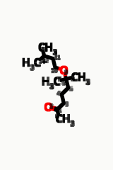 CC(=O)CCCC(C)(C)OCCC(C)C